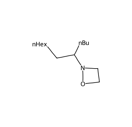 CCCCCCCC(CCCC)N1CCO1